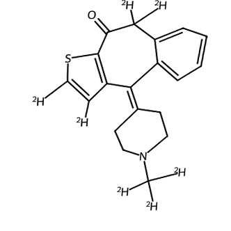 [2H]c1sc2c(c1[2H])C(=C1CCN(C([2H])([2H])[2H])CC1)c1ccccc1C([2H])([2H])C2=O